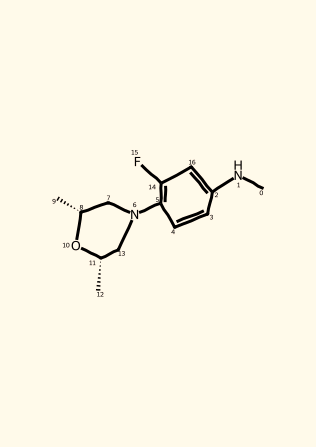 CNc1ccc(N2C[C@@H](C)O[C@@H](C)C2)c(F)c1